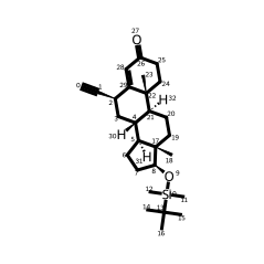 C#C[C@@H]1C[C@H]2[C@@H]3CC[C@H](O[Si](C)(C)C(C)(C)C)[C@@]3(C)CC[C@@H]2[C@@]2(C)CCC(=O)C=C12